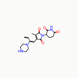 C=C/C(=C\C1=C(C)C(=O)N(C2CCC(=O)NC2=O)C1=O)N1CCNCC1